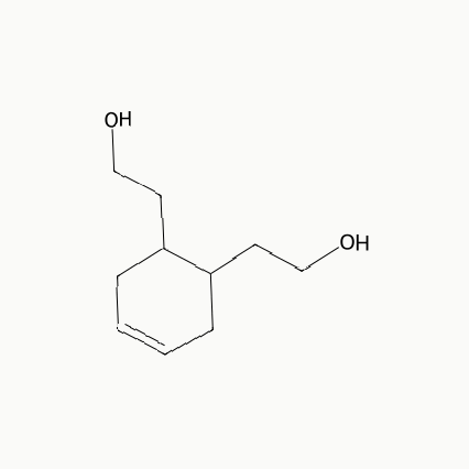 OCCC1CC=CCC1CCO